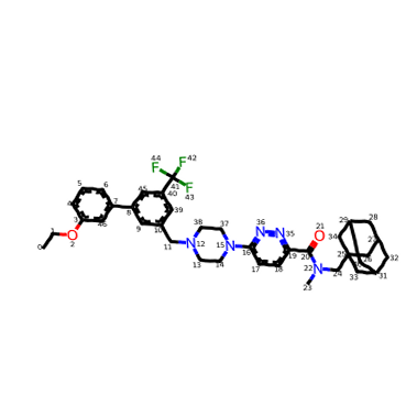 CCOc1cccc(-c2cc(CN3CCN(c4ccc(C(=O)N(C)CC56CC7CC(CC(C7)C5)C6)nn4)CC3)cc(C(F)(F)F)c2)c1